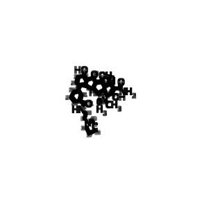 CN(C)[C@H]1C(O)=C(C(N)=O)C(=O)[C@@]2(O)C(O)=C3C(=O)c4c(O)ccc(-c5cccc(C(=O)NCCN6CCCCC6)c5)c4C[C@H]3C[C@@H]12